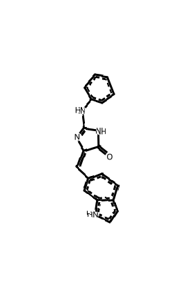 O=C1NC(Nc2ccccc2)=NC1=Cc1ccc2cc[nH]c2c1